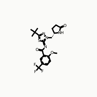 COc1ccc(C(F)(F)F)cc1C(=O)N=c1sc(C(C)(C)C)nn1C[C@@H]1CCC(=O)N1